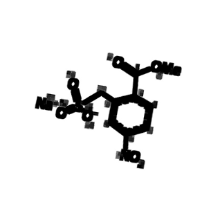 COC(=O)c1ccc([N+](=O)[O-])cc1CS(=O)(=O)[O-].[Na+]